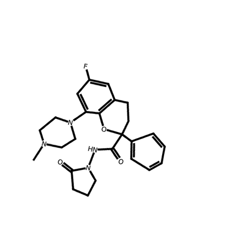 CN1CCN(c2cc(F)cc3c2OC(C(=O)NN2CCCC2=O)(c2ccccc2)CC3)CC1